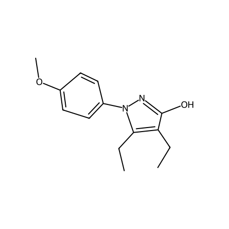 CCc1c(O)nn(-c2ccc(OC)cc2)c1CC